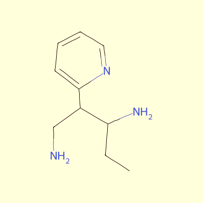 CCC(N)C(CN)c1ccccn1